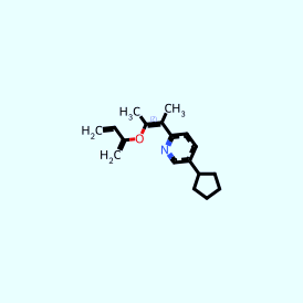 C=CC(=C)O/C(C)=C(/C)c1ccc(C2CCCC2)cn1